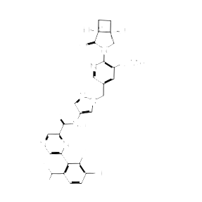 COc1cc(Cn2cc(NC(=O)c3cncc(-c4c(C(F)F)ccc(Cl)c4F)n3)cn2)cnc1N1C[C@H]2CC[C@H]2C1=O